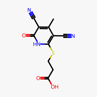 Cc1c(C#N)c(SCCC(=O)O)[nH]c(=O)c1C#N